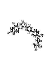 Cc1nc2nc(C)c(O[C@@H]3CCN(c4ccc(-c5ccc(C(=O)N6CC(C(=O)N(C)C)C6)nn5)cc4)C3)c(C)n2n1